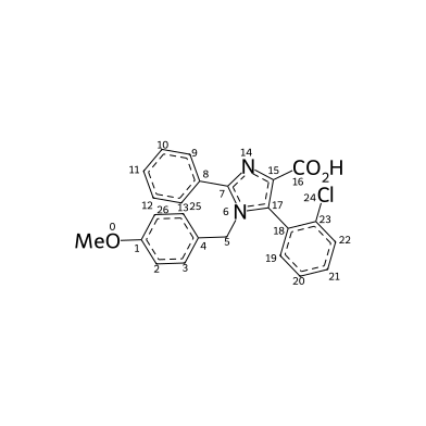 COc1ccc(Cn2c(-c3ccccc3)nc(C(=O)O)c2-c2ccccc2Cl)cc1